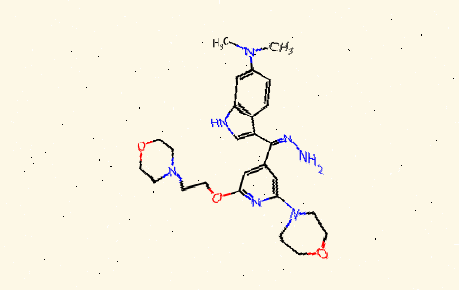 CN(C)c1ccc2c(C(=NN)c3cc(OCCN4CCOCC4)nc(N4CCOCC4)c3)c[nH]c2c1